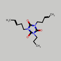 C/C=C/CCn1c(=O)n(CCC)c(=O)n(CC/C=C/C)c1=O